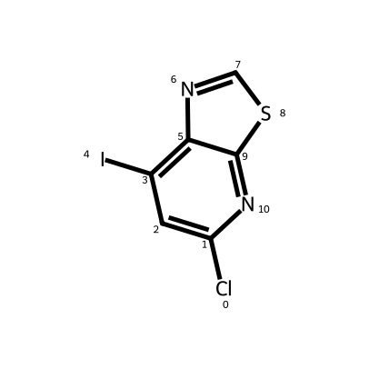 Clc1cc(I)c2ncsc2n1